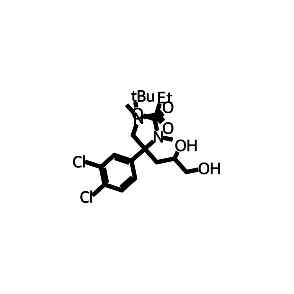 CCC(=O)N(C)CC(CC(O)CO)(c1ccc(Cl)c(Cl)c1)N(C)C(=O)OC(C)(C)C